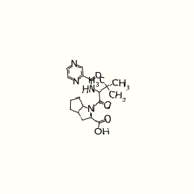 CC(C)(C)C(NC(=O)c1cnccn1)C(=O)N1C(C(=O)O)CC2CCCC21